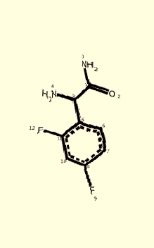 NC(=O)C(N)c1ccc(F)cc1F